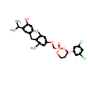 Cc1cc(OC[P@]2(=O)OCC[C@@H](c3cc(Cl)cc(Cl)c3)O2)cc(C)c1Cc1ccc(O)c(C(C)C)c1